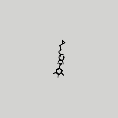 Cc1cc(-c2nc3cnc(OCCC4CC4)nc3o2)cc(C)c1[O]